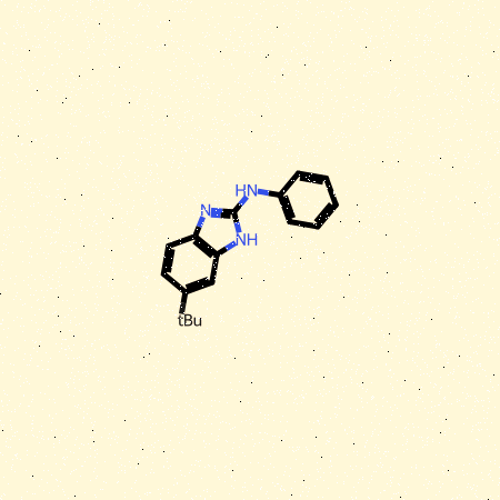 CC(C)(C)c1ccc2nc(Nc3ccccc3)[nH]c2c1